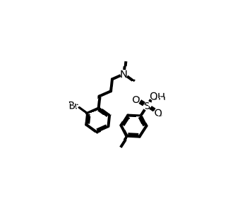 CN(C)CCCc1ccccc1Br.Cc1ccc(S(=O)(=O)O)cc1